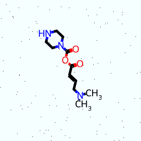 CN(C)CC=CC(=O)OC(=O)N1CCNCC1